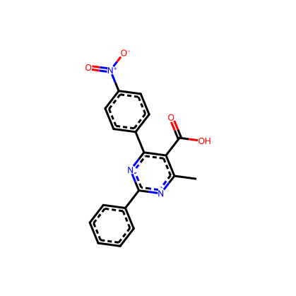 Cc1nc(-c2ccccc2)nc(-c2ccc([N+](=O)[O-])cc2)c1C(=O)O